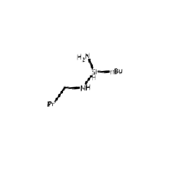 CCCC[SiH](N)NCC(C)C